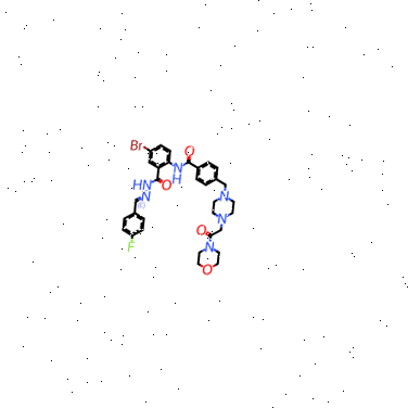 O=C(Nc1ccc(Br)cc1C(=O)N/N=C/c1ccc(F)cc1)c1ccc(CN2CCN(CC(=O)N3CCOCC3)CC2)cc1